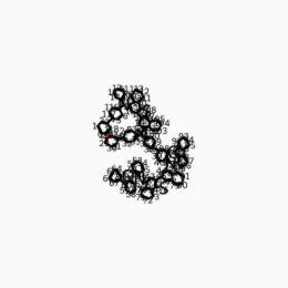 c1ccc(-c2ccc(N(c3ccccc3)c3cc4c5cc(N(c6ccc(-c7ccccc7)cc6)c6ccc(-c7ccc(N(c8cc9c%10cc(N(c%11ccccc%11)c%11cccc%12c%11oc%11ccccc%11%12)c%11ccccc%11c%10sc9c9ccccc89)c8cccc9c8oc8ccccc89)cc7)cc6)c6ccccc6c5sc4c4ccccc34)cc2)cc1